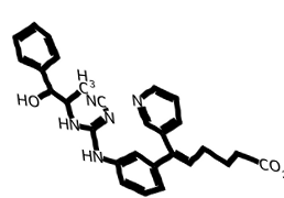 CC(NC(=NC#N)Nc1cccc(C(=CCCCC(=O)O)c2cccnc2)c1)C(O)c1ccccc1